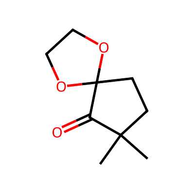 CC1(C)CCC2(OCCO2)C1=O